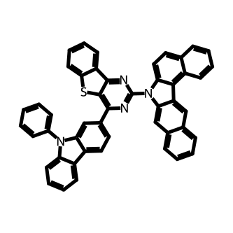 c1ccc(-n2c3ccccc3c3ccc(-c4nc(-n5c6cc7ccccc7cc6c6c7ccccc7ccc65)nc5c4sc4ccccc45)cc32)cc1